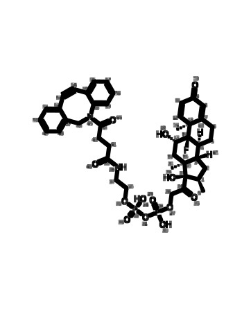 C[C@@H]1C[C@H]2[C@@H]3CCC4=CC(=O)C=C[C@]4(C)[C@@]3(F)[C@@H](O)C[C@]2(C)[C@@]1(O)C(=O)COP(=O)(O)OP(=O)(O)OCCNC(=O)CCC(=O)N1Cc2ccccc2C#Cc2ccccc21